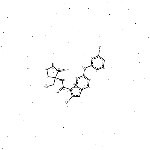 Cc1cc2ccc(Oc3cccc(F)c3)cn2c1C(=O)NC1(CO)CCNC1=O